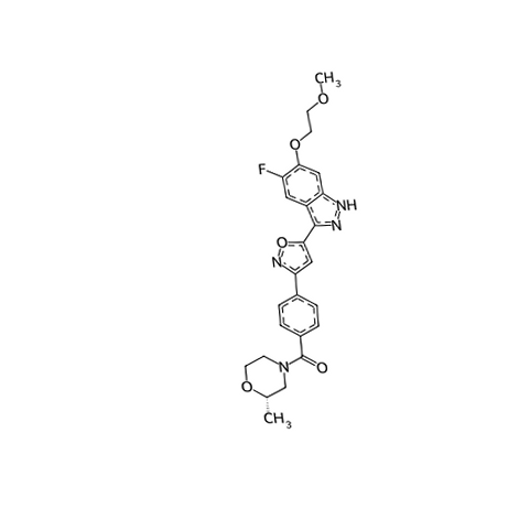 COCCOc1cc2[nH]nc(-c3cc(-c4ccc(C(=O)N5CCO[C@@H](C)C5)cc4)no3)c2cc1F